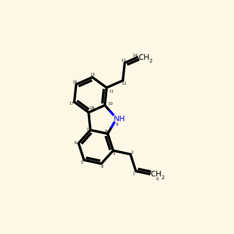 C=CCc1cccc2c1[nH]c1c(CC=C)cccc12